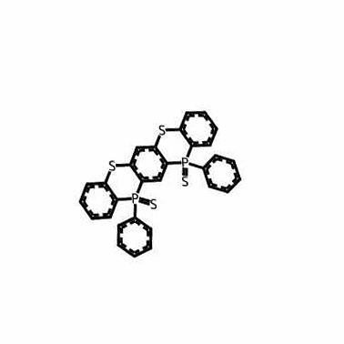 S=P1(c2ccccc2)c2ccccc2Sc2cc3c(cc21)P(=S)(c1ccccc1)c1ccccc1S3